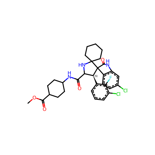 COC(=O)C1CCC(NC(=O)C2NC3(CCCCC3)C3(C(=O)Nc4cc(Cl)ccc43)[C@H]2c2cccc(Cl)c2F)CC1